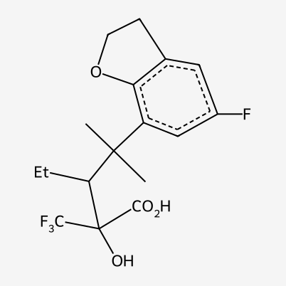 CCC(C(C)(C)c1cc(F)cc2c1OCC2)C(O)(C(=O)O)C(F)(F)F